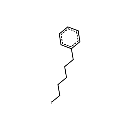 I[CH]CCCCc1ccccc1